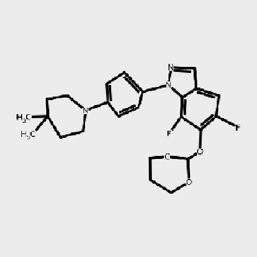 CC1(C)CCN(c2ccc(-n3ncc4cc(F)c(OC5CCCCO5)c(F)c43)cc2)CC1